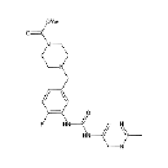 COC(=O)N1CCN(Cc2ccc(F)c(NC(=O)Nc3cnc(C)nc3)c2)CC1